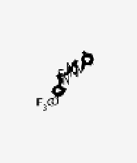 Cc1cc[c]c(Cn2nc(-c3nc(-c4ccc(OC(F)(F)F)cc4)cs3)nc2C)c1